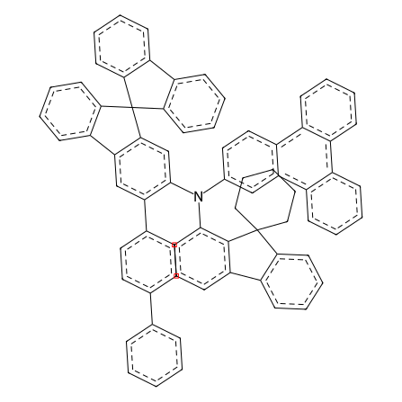 c1ccc(-c2ccc(-c3cc4c(cc3N(c3ccc5c6ccccc6c6ccccc6c5c3)c3cccc5c3C3(CCCCC3)c3ccccc3-5)C3(c5ccccc5-c5ccccc53)c3ccccc3-4)cc2)cc1